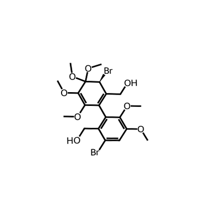 COC1=C(OC)C(OC)(OC)[C@@H](Br)C(CO)=C1c1c(CO)c(Br)cc(OC)c1OC